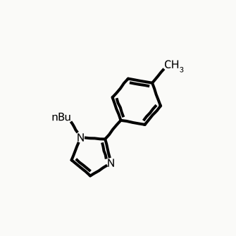 CCCCn1ccnc1-c1ccc(C)cc1